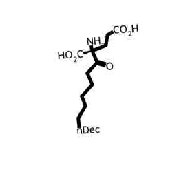 CCCCCCCCCCCCCCCC(=O)[C@](N)(CCC(=O)O)C(=O)O